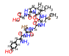 CC[C@H](C)[C@H](NC(=O)[C@H](CCSC)NC(=O)CNC(=O)[C@H](CS)NC(=O)[C@@H](N)Cc1ccc(O)cc1)C(=O)N1CCC[C@H]1C(=O)NCC(=O)O